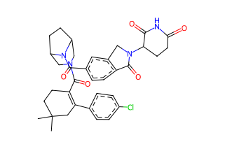 CC1(C)CCC(C(=O)N2CC3CCC(C2)N3C(=O)c2ccc3c(c2)CN(C2CCC(=O)NC2=O)C3=O)=C(c2ccc(Cl)cc2)C1